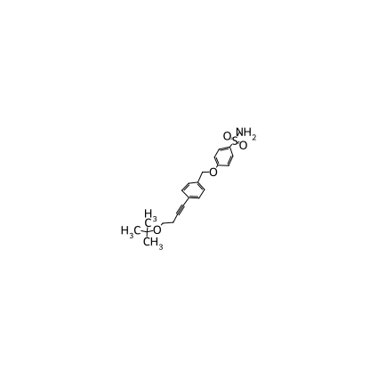 CC(C)(C)OCCC#Cc1ccc(COc2ccc(S(N)(=O)=O)cc2)cc1